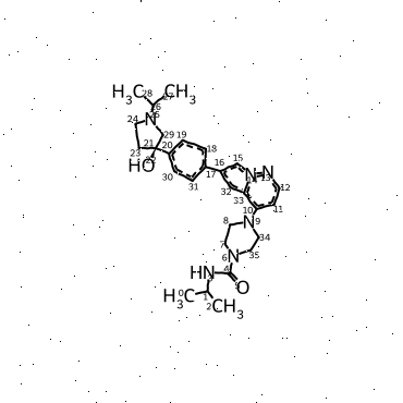 CC(C)NC(=O)N1CCN(c2ccnn3cc(-c4ccc([C@]5(O)CCN(C(C)C)C5)cc4)cc23)CC1